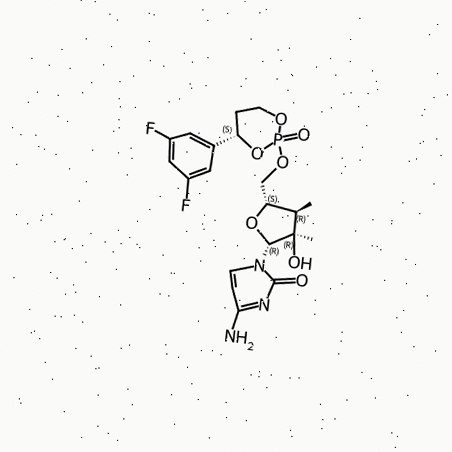 C[C@@H]1[C@@H](COP2(=O)OCC[C@@H](c3cc(F)cc(F)c3)O2)O[C@@H](n2ccc(N)nc2=O)[C@]1(C)O